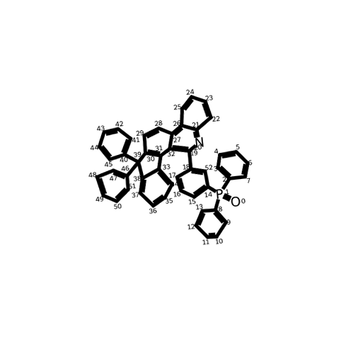 O=P(c1ccccc1)(c1ccccc1)c1cccc(-c2nc3ccccc3c3ccc4c(c23)-c2ccccc2C4(c2ccccc2)c2ccccc2)c1